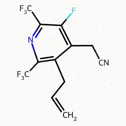 C=CCc1c(C(F)(F)F)nc(C(F)(F)F)c(F)c1CC#N